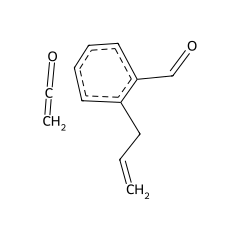 C=C=O.C=CCc1ccccc1C=O